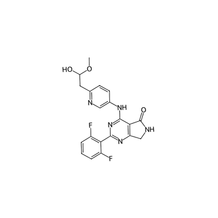 COC(O)Cc1ccc(Nc2nc(-c3c(F)cccc3F)nc3c2C(=O)NC3)cn1